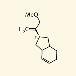 C=C(COC)[C@@H]1CC2C=CCCC2C1